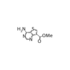 COC(=O)c1csc2c(N)ncnc12